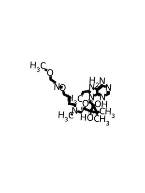 CCOCC=NOCCCCN(C)C[C@H]1O[C@@H](n2c(CC)nc3c(N)ncnc32)[C@@]2(O)C(C)(C)[C@@]12O